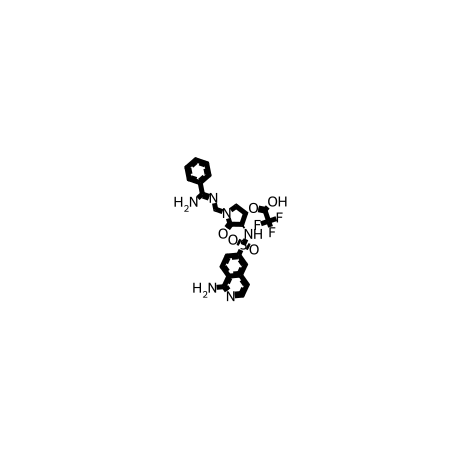 NC(=NCN1CC[C@H](NS(=O)(=O)c2ccc3c(N)nccc3c2)C1=O)c1ccccc1.O=C(O)C(F)(F)F